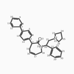 O=C1C(c2ccc(-c3ccccc3)cc2)CC=CCN1C(CN1CCCC1)c1ccccc1